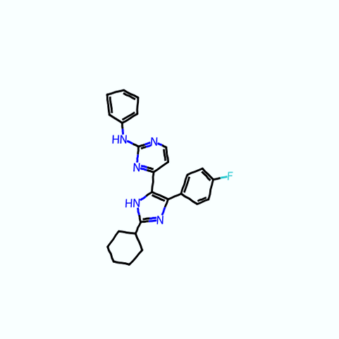 Fc1ccc(-c2nc(C3CCCCC3)[nH]c2-c2ccnc(Nc3ccccc3)n2)cc1